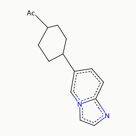 CC(=O)C1CCC(c2ccc3nccn3c2)CC1